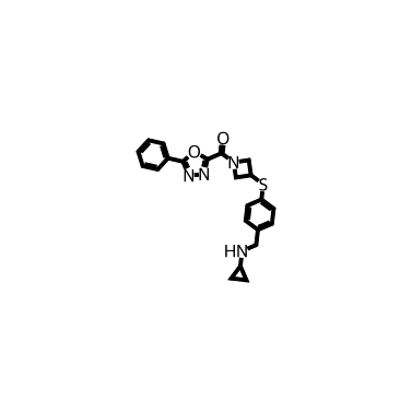 O=C(c1nnc(-c2ccccc2)o1)N1CC(Sc2ccc(CNC3CC3)cc2)C1